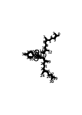 CC(C)=CCCC(C)=CCCC(C)=CCN(CC=C(C)CCC=C(C)CCC=C(C)C)S(=O)(=O)c1ccc(C)cc1